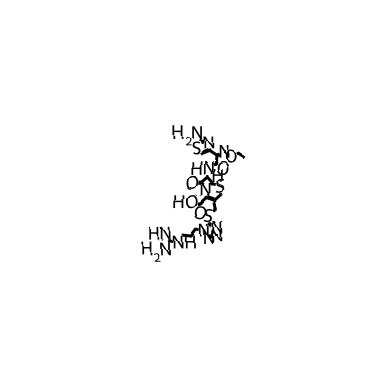 CCO/N=C(\C(=O)N[C@@H]1C(=O)N2C(C(=O)O)=C(CSc3nnnn3CCCNC(=N)N)CS[C@@H]12)c1csc(N)n1